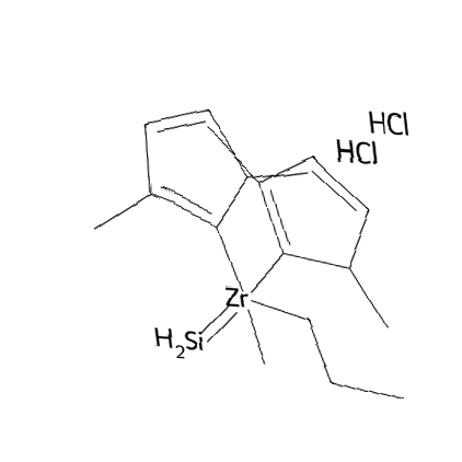 CC[CH2][Zr]([CH3])(=[SiH2])([C]1=C(C)C=CC1C)[C]1=C(C)C=CC1C.Cl.Cl